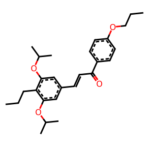 CCCOc1ccc(C(=O)C=Cc2cc(OC(C)C)c(CCC)c(OC(C)C)c2)cc1